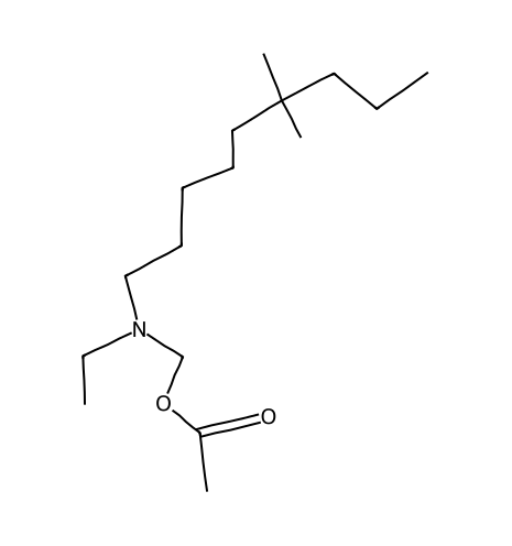 CCCC(C)(C)CCCCCN(CC)COC(C)=O